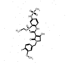 CCOP1(=O)N=C(C2=C(O)CN(Cc3ccc(F)c(OC)c3)C2=O)Nc2ccc(NS(C)(=O)=O)cc21